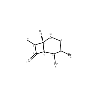 CC1C(=O)N2C(Br)C(Br)CS[C@@H]12